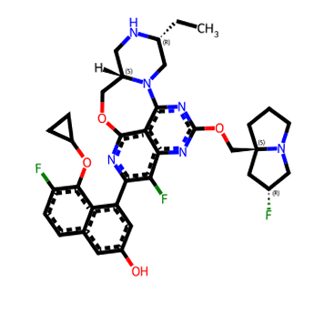 CC[C@@H]1CN2c3nc(OC[C@@]45CCCN4C[C@H](F)C5)nc4c(F)c(-c5cc(O)cc6ccc(F)c(OC7CC7)c56)nc(c34)OC[C@@H]2CN1